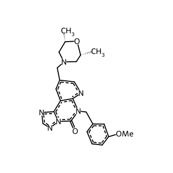 COc1cccc(Cn2c(=O)n3ncnc3c3cc(CN4C[C@@H](C)O[C@@H](C)C4)cnc32)c1